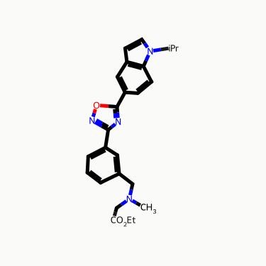 CCOC(=O)CN(C)Cc1cccc(-c2noc(-c3ccc4c(ccn4C(C)C)c3)n2)c1